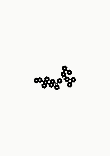 c1ccc(-c2ccccc2-c2ccc3c(c2)c2cc(-c4ccccc4-c4ccccc4)ccc2n3-c2ccc(N(c3ccccc3)c3cccc4c(-c5c6ccccc6c(-c6ccc7ccccc7c6)c6ccccc56)cccc34)cc2)cc1